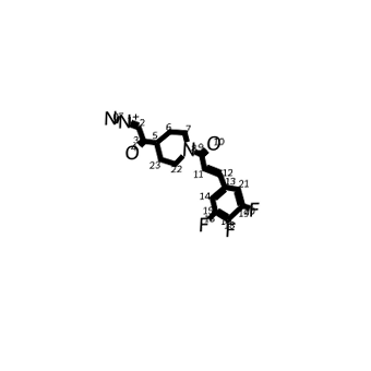 [N-]=[N+]=CC(=O)C1CCN(C(=O)/C=C/c2cc(F)c(F)c(F)c2)CC1